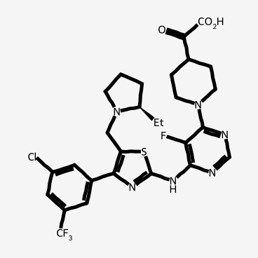 CC[C@@H]1CCCN1Cc1sc(Nc2ncnc(N3CCC(C(=O)C(=O)O)CC3)c2F)nc1-c1cc(Cl)cc(C(F)(F)F)c1